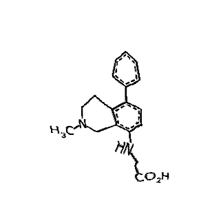 CN1CCc2c(-c3ccccc3)ccc(NCC(=O)O)c2C1